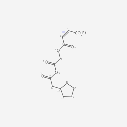 CCOC(=O)/C=C\C(=O)OCC(=O)OC(=O)CC1CCCC1